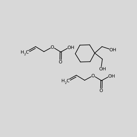 C=CCOC(=O)O.C=CCOC(=O)O.OCC1(CO)CCCCC1